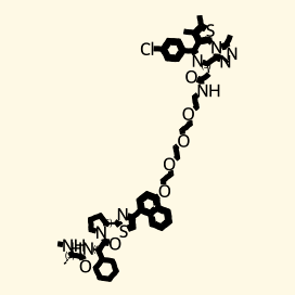 CN[C@@H](C)C(=O)N[C@H](C(=O)N1CCC[C@H]1c1nc(-c2ccc(OCCOCCOCCOCCNC(=O)C[C@@H]3N=C(c4ccc(Cl)cc4)c4c(sc(C)c4C)-n4c(C)nnc43)c3ccccc23)cs1)C1CCCCC1